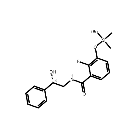 CC(C)(C)[Si](C)(C)Oc1cccc(C(=O)NC[C@@H](O)c2ccccc2)c1F